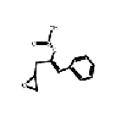 O=[Si](O)OC(=Cc1ccccc1)CC1CO1